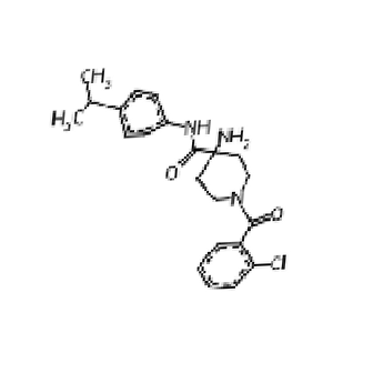 CC(C)c1ccc(NC(=O)C2(N)CCN(C(=O)c3ccccc3Cl)CC2)cc1